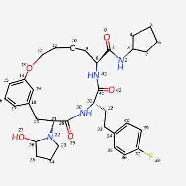 O=C(NC1CCCC1)[C@@H]1CCCCOc2cccc(c2)C[C@H](N2CCCC2O)C(=O)N[C@@H](CCc2ccc(F)cc2)C(=O)N1